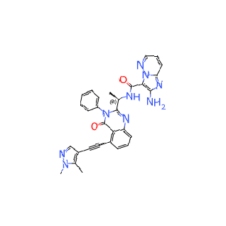 Cc1c(C#Cc2cccc3nc([C@@H](C)NC(=O)c4c(N)nc5cccnn45)n(-c4ccccc4)c(=O)c23)cnn1C